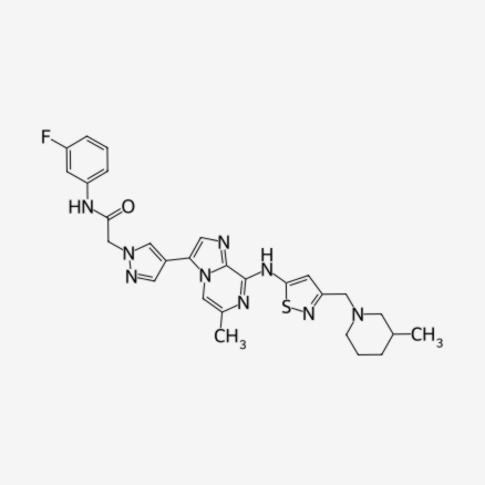 Cc1cn2c(-c3cnn(CC(=O)Nc4cccc(F)c4)c3)cnc2c(Nc2cc(CN3CCCC(C)C3)ns2)n1